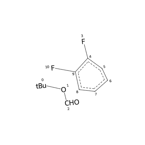 CC(C)(C)OC=O.Fc1ccccc1F